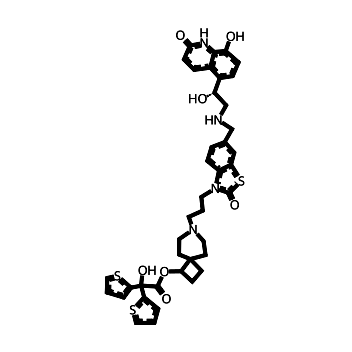 O=C(OC1CCC12CCN(CCCn1c(=O)sc3cc(CNC[C@H](O)c4ccc(O)c5[nH]c(=O)ccc45)ccc31)CC2)C(O)(c1cccs1)c1cccs1